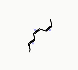 C\C=C/C=C\C=N\F